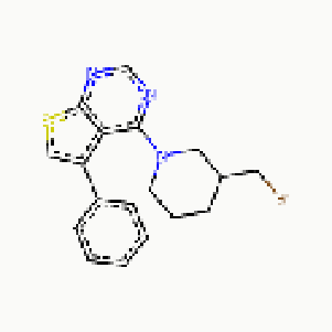 BrCC1CCCN(c2ncnc3scc(-c4ccccc4)c23)C1